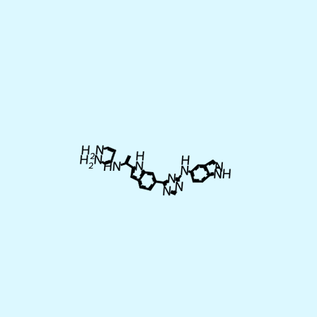 C=C(NC(/C=C\N)=C/N)c1cc2ccc(-c3ncnc(Nc4ccc5[nH]ncc5c4)n3)cc2[nH]1